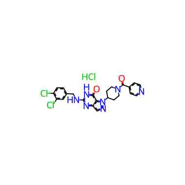 Cl.O=C(c1ccncc1)N1CCC(n2ncc3nc(NCc4ccc(Cl)c(Cl)c4)[nH]c(=O)c32)CC1